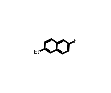 [CH2]Cc1ccc2cc(F)ccc2c1